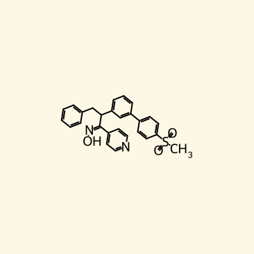 CS(=O)(=O)c1ccc(-c2cccc(C(Cc3ccccc3)C(=NO)c3ccncc3)c2)cc1